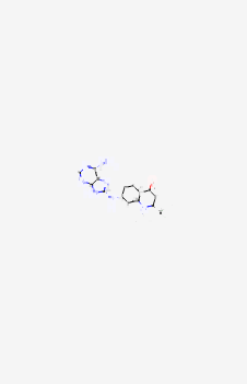 Cn1c(C(F)(F)F)cc(=O)c2ccc(Nc3nc4c(N)ncnc4[nH]3)cc21